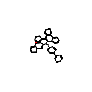 c1ccc(-c2ccc(N(c3ccc4ccccc4c3)c3c(-c4ccccc4)c4ccccc4c4ccccc34)cc2)cc1